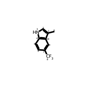 Cc1c[nH]c2ccc(C(F)(F)F)cc12